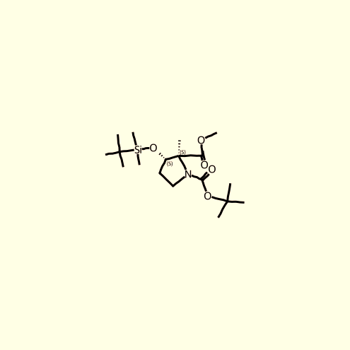 COC(=O)[C@]1(C)[C@@H](O[Si](C)(C)C(C)(C)C)CCN1C(=O)OC(C)(C)C